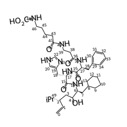 C=C[C@@H](C[C@H](O)[C@H](CC1CCCCC1)NC(=O)[C@H](Cc1c[nH]cn1)NC(=O)[C@H](Cc1ccccc1)NC(=O)CCNC(=O)CCCCNC(=O)O)C(C)C